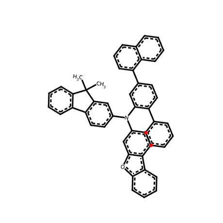 CC1(C)c2ccccc2-c2ccc(N(c3ccc4c(c3)oc3ccccc34)c3cc(-c4cccc5ccccc45)ccc3-c3ccccc3)cc21